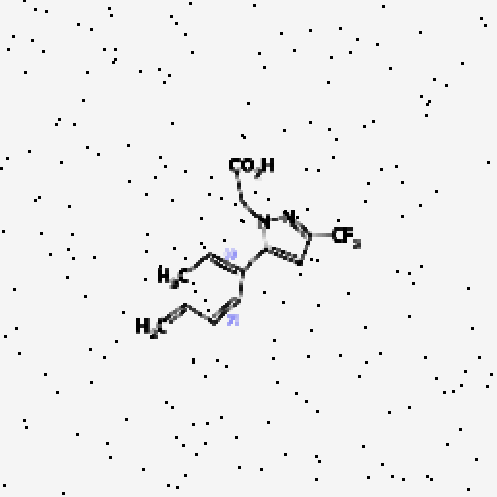 C=C/C=C\C(=C/C)c1cc(C(F)(F)F)nn1CC(=O)O